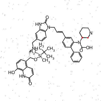 CC(C)(C)[Si](C)(C)O[C@@H](CNCc1ccc2c(c1)[nH]c(=O)n2CC=Cc1ccc(-c2ccccc2)c(N(C(=O)O)C2CN3CCC2CC3)c1)c1ccc(O)c2[nH]c(=O)ccc12